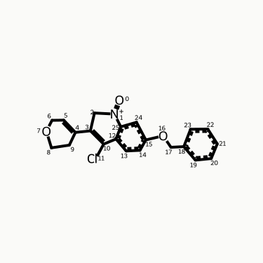 O=[N+]1CC(C2=CCOCC2)=C(Cl)c2ccc(OCc3ccccc3)cc21